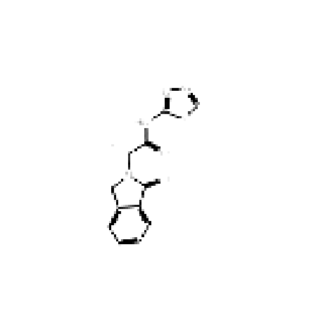 C[C@H](C(=O)Nc1nncs1)N1Cc2ccccc2C1=O